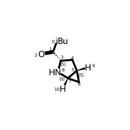 CCC(C)C(=O)[C@@H]1C[C@@H]2C[C@@H]2N1